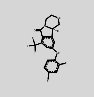 O=C1c2c(cc(Nc3ccc(F)cc3F)cc2C(F)(F)F)[C@@H]2CNCCN12